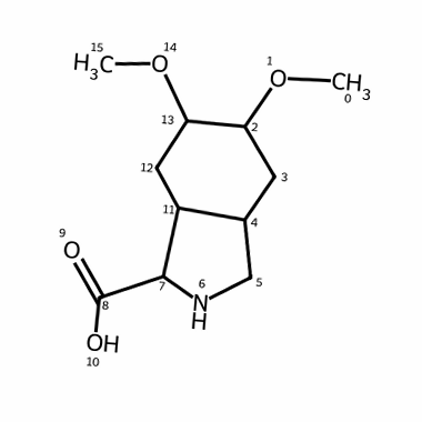 COC1CC2CNC(C(=O)O)C2CC1OC